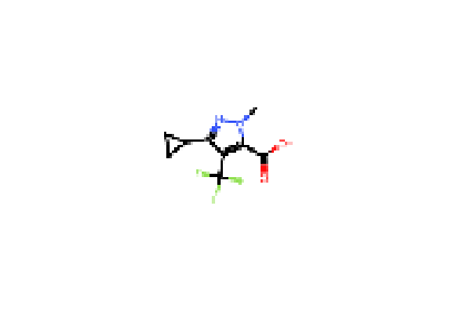 Cn1nc(C2CC2)c(C(F)(F)F)c1C(=O)O